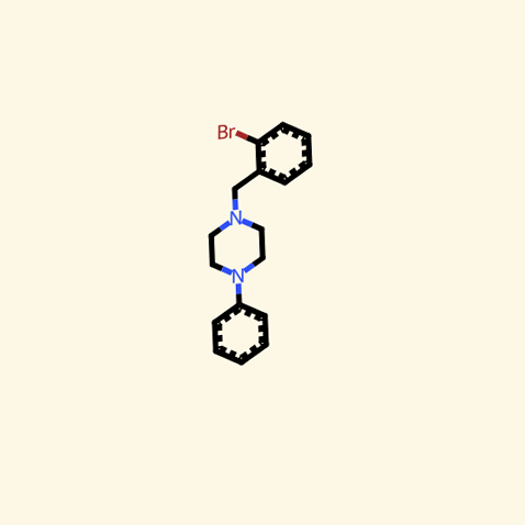 Brc1ccccc1CN1CCN(c2ccccc2)CC1